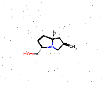 C=C1C[C@@H]2CC[C@@H](CO)N2C1